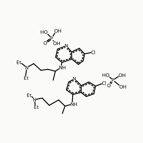 CCN(CC)CCCC(C)Nc1ccnc2cc(Cl)ccc12.CCN(CC)CCCC(C)Nc1ccnc2cc(Cl)ccc12.O=P(O)(O)O.O=P(O)(O)O